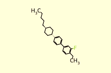 CCCCC[C@H]1CC[C@H](c2ccc(-c3ccc(CC)c(F)c3)cc2)CC1